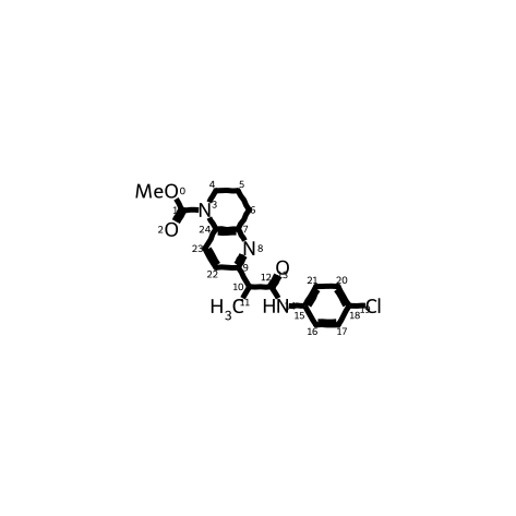 COC(=O)N1CCCc2nc(C(C)C(=O)Nc3ccc(Cl)cc3)ccc21